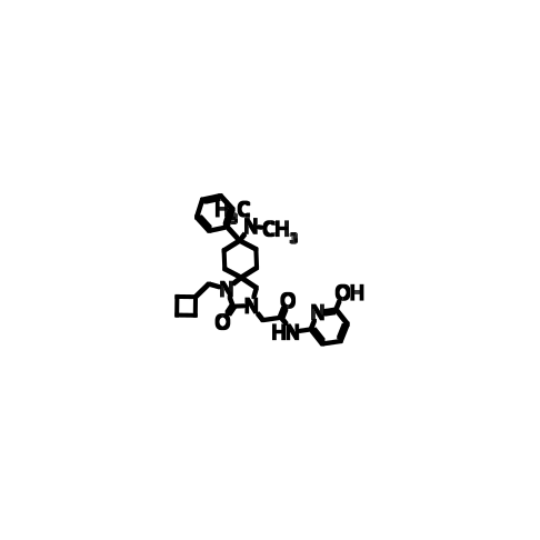 CN(C)C1(c2ccccc2)CCC2(CC1)CN(CC(=O)Nc1cccc(O)n1)C(=O)N2CC1CCC1